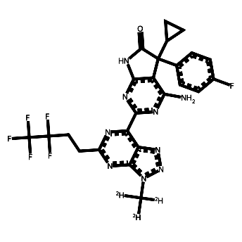 [2H]C([2H])([2H])n1nnc2c(-c3nc(N)c4c(n3)NC(=O)C4(c3ccc(F)cc3)C3CC3)nc(CCC(F)(F)C(F)(F)F)nc21